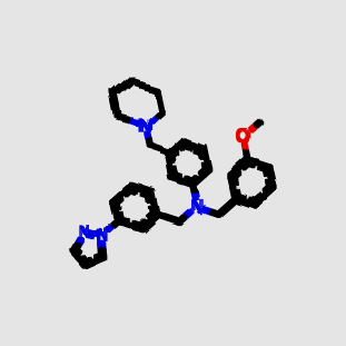 COc1cccc(CN(Cc2cccc(-n3cccn3)c2)c2cccc(CN3CCCCC3)c2)c1